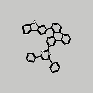 c1ccc(-c2cc(-c3ccccc3)nc(-c3ccc4c(c3)c3ccccc3c3cccc(-c5ccc6c(c5)sc5ccccc56)c34)n2)cc1